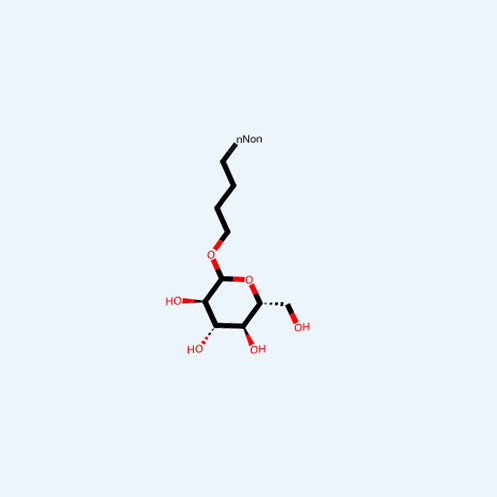 CCCCCCCCCCCCCOC1O[C@H](CO)[C@@H](O)[C@H](O)[C@H]1O